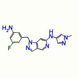 Cn1cc(Nc2cc3c(cn2)cnn3Cc2cc(N)cc(F)c2)cn1